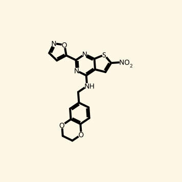 O=[N+]([O-])c1cc2c(NCc3ccc4c(c3)OCCO4)nc(-c3ccno3)nc2s1